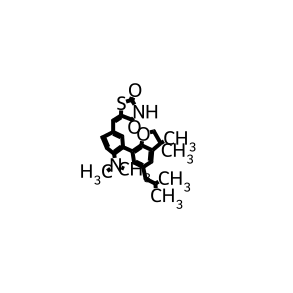 CC(C)Cc1cc(-c2cc(C=C3SC(=O)NC3=O)ccc2N(C)C)c2c(c1)C(C)(C)CO2